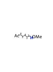 CON=CCCCCC(C)=O